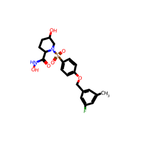 Cc1cc(F)cc(COc2ccc(S(=O)(=O)N3CC(O)CCC3C(=O)NO)cc2)c1